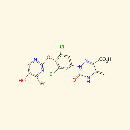 C=C1NC(=O)N(c2cc(Cl)c(Oc3ncc(O)c(C(C)C)n3)c(Cl)c2)N=C1C(=O)O